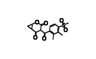 Cc1c(C(=O)C2C(=O)OC3CC3C2=O)ccc(S(C)(=O)=O)c1C